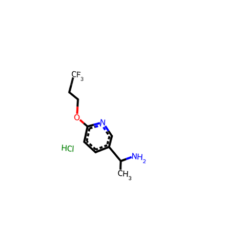 CC(N)c1ccc(OCCC(F)(F)F)nc1.Cl